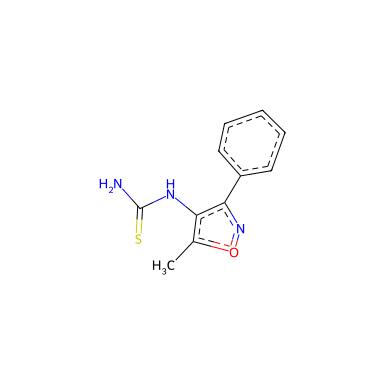 Cc1onc(-c2ccccc2)c1NC(N)=S